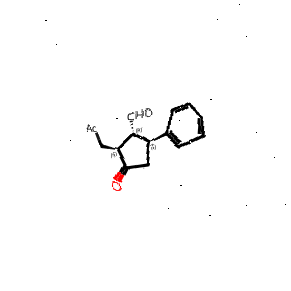 CC(=O)C[C@@H]1C(=O)C[C@H](c2ccccc2)[C@H]1C=O